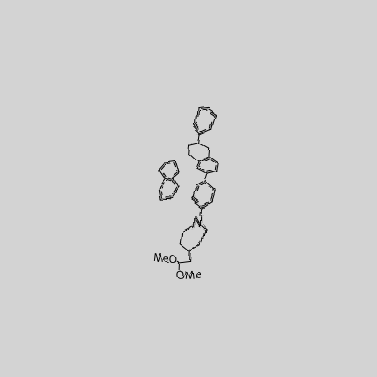 COC(CC1CCN(c2ccc(-c3ccc4c(c3)CCC(c3ccccc3)C4)cc2)CC1)OC.c1ccc2ccccc2c1